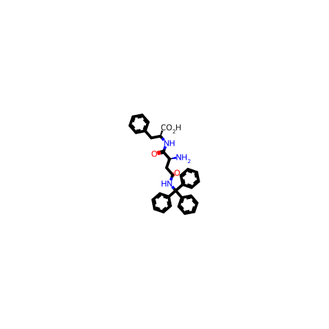 N[C@@H](CC(=O)NC(c1ccccc1)(c1ccccc1)c1ccccc1)C(=O)N[C@@H](Cc1ccccc1)C(=O)O